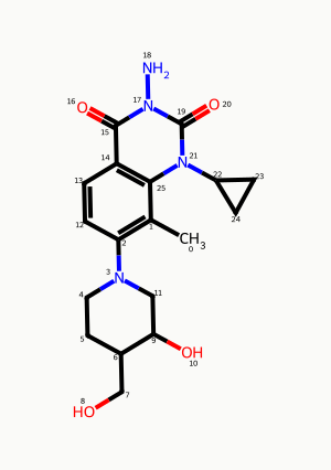 Cc1c(N2CCC(CO)C(O)C2)ccc2c(=O)n(N)c(=O)n(C3CC3)c12